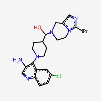 CC(C)c1ncc2n1CCN(C(O)C1CCN(c3c(N)cnc4ccc(Cl)cc34)CC1)C2